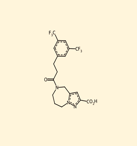 O=C(O)c1cc2n(n1)CCCN(C(=O)CCc1cc(C(F)(F)F)cc(C(F)(F)F)c1)C2